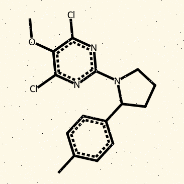 COc1c(Cl)nc(N2CCCC2c2ccc(C)cc2)nc1Cl